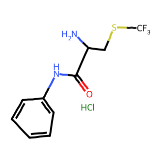 Cl.NC(CSC(F)(F)F)C(=O)Nc1ccccc1